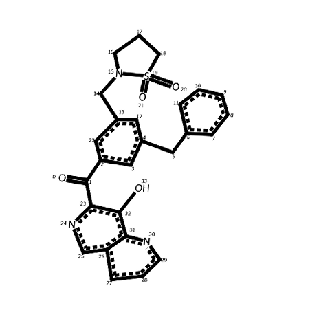 O=C(c1cc(Cc2ccccc2)cc(CN2CCCS2(=O)=O)c1)c1ncc2cccnc2c1O